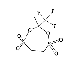 CC1(C(F)(F)F)OS(=O)(=O)CCS(=O)(=O)O1